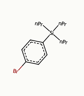 CCC[Si](CCC)(CCC)c1ccc(Br)cc1